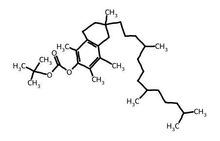 Cc1c(C)c(OC(=O)OC(C)(C)C)c(C)c2c1CC(C)(CCCC(C)CCCC(C)CCCC(C)C)CC2